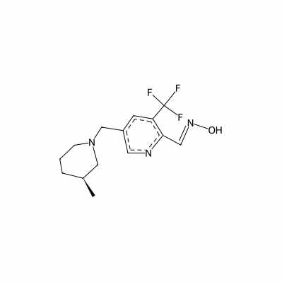 C[C@H]1CCCN(Cc2cnc(/C=N/O)c(C(F)(F)F)c2)C1